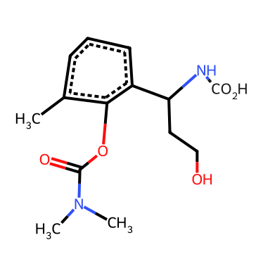 Cc1cccc(C(CCO)NC(=O)O)c1OC(=O)N(C)C